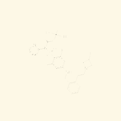 CC(C)(C)OC(=O)N(c1cscn1)S(=O)(=O)c1c(F)cc(NCc2ccccc2CCN2CC(F)C2)cc1F